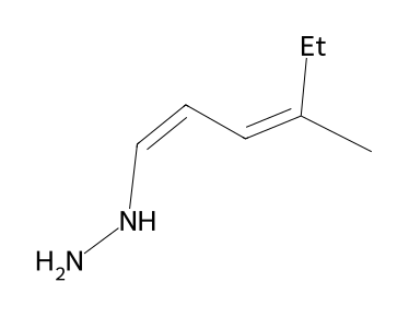 CC/C(C)=C\C=C/NN